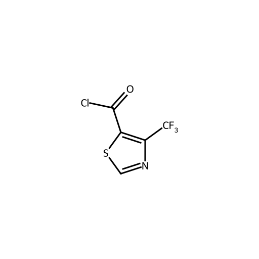 O=C(Cl)c1scnc1C(F)(F)F